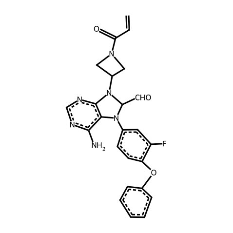 C=CC(=O)N1CC(N2c3ncnc(N)c3N(c3ccc(Oc4ccccc4)c(F)c3)C2C=O)C1